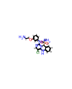 NCCOc1cccc(Nc2ncc(Cl)c(Nc3ccccc3CS(N)(=O)=O)n2)c1